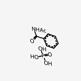 CC(=O)NC(=O)c1ccccc1.O=P(O)(O)O